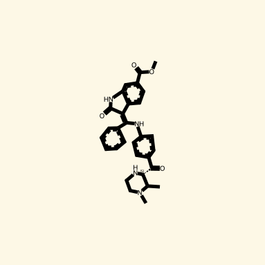 COC(=O)c1ccc2c(c1)NC(=O)C2=C(Nc1ccc(C(=O)[C@H]2NCCN(C)C2C)cc1)c1ccccc1